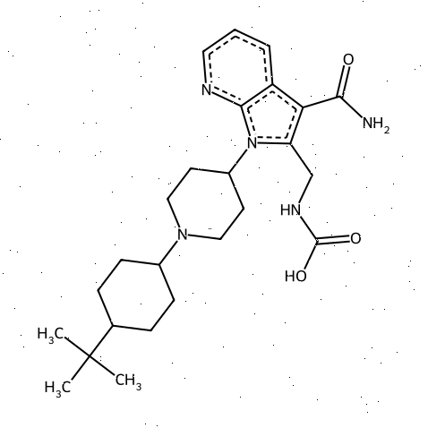 CC(C)(C)C1CCC(N2CCC(n3c(CNC(=O)O)c(C(N)=O)c4cccnc43)CC2)CC1